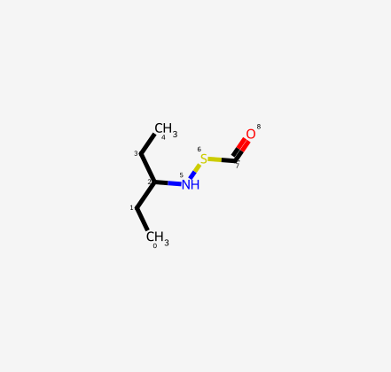 CCC(CC)NS[C]=O